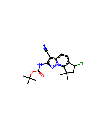 CC(C)(C)OC(=O)Nc1nn2c3c(ccc2c1C#N)C(Cl)CC3(C)C